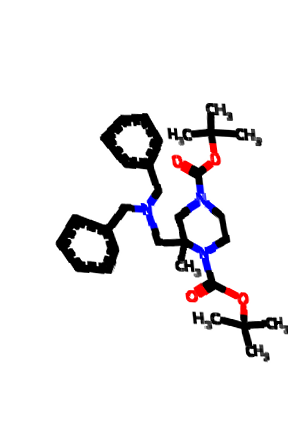 CC(C)(C)OC(=O)N1CCN(C(=O)OC(C)(C)C)C(C)(CN(Cc2ccccc2)Cc2ccccc2)C1